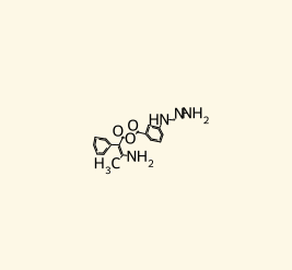 CC(N)=C(C(=O)OC(=O)c1cccc(NC=NN)c1)c1ccccc1